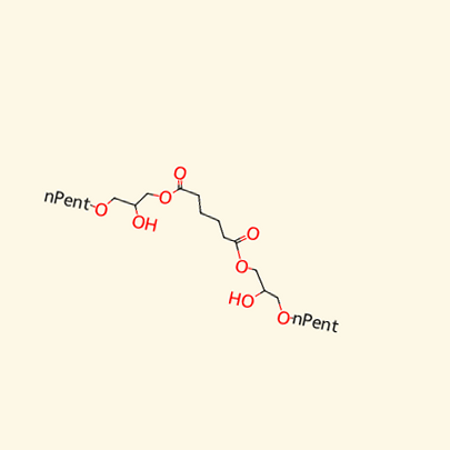 CCCCCOCC(O)COC(=O)CCCCC(=O)OCC(O)COCCCCC